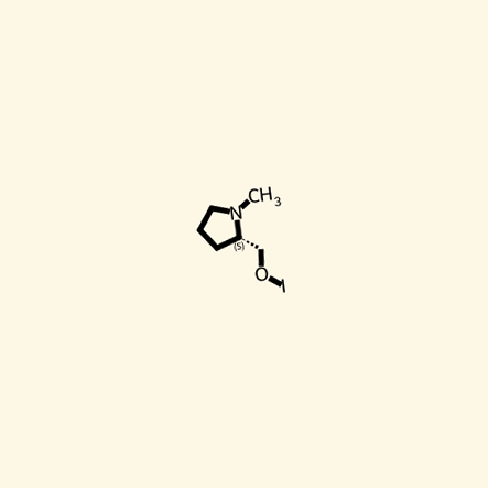 CN1CCC[C@H]1COI